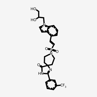 O=C1NC(c2cccc(C(F)(F)F)c2)=NC12CCN(S(=O)(=O)C=Cc1cccc3c1ccn3CC(O)CO)CC2